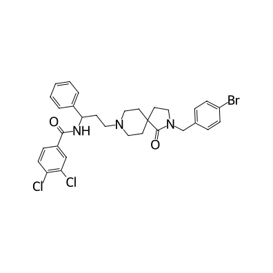 O=C(NC(CCN1CCC2(CC1)CCN(Cc1ccc(Br)cc1)C2=O)c1ccccc1)c1ccc(Cl)c(Cl)c1